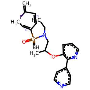 B=S(=O)(C(/C=C\C(=C)I)=C/C)N(CC)CC(C)Oc1cccnc1-c1ccncc1